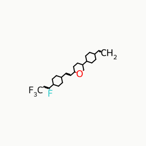 C=CC1CCC(C2CCC(/C=C/C3CCC(/C(F)=C/C(F)(F)F)CC3)OC2)CC1